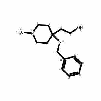 CN1CCC(CCO)(SCc2ccccc2)CC1